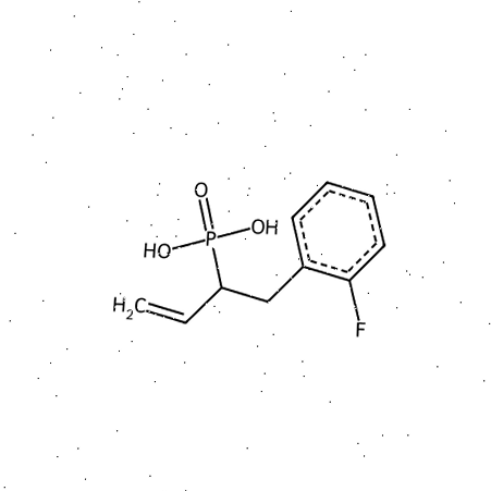 C=CC(Cc1ccccc1F)P(=O)(O)O